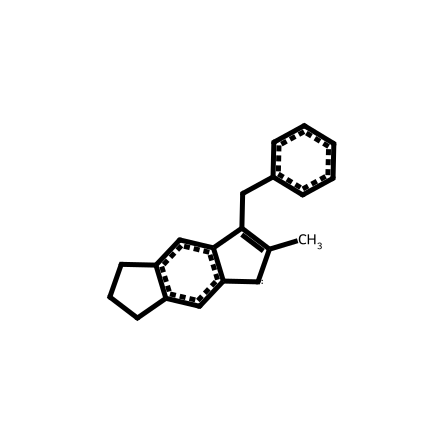 CC1=C(Cc2ccccc2)c2cc3c(cc2[C]1)CCC3